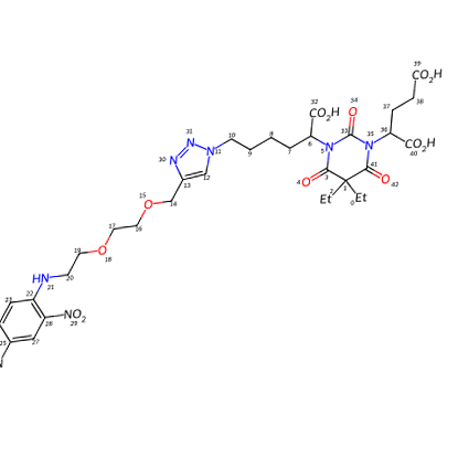 CCC1(CC)C(=O)N(C(CCCCn2cc(COCCOCCNc3ccc([N+](=O)[O-])cc3[N+](=O)[O-])nn2)C(=O)O)C(=O)N(C(CCC(=O)O)C(=O)O)C1=O